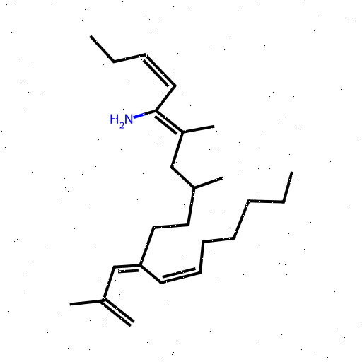 C=C(C)/C=C(\C=C/CCCCC)CCC(C)C/C(C)=C(N)/C=C\CC